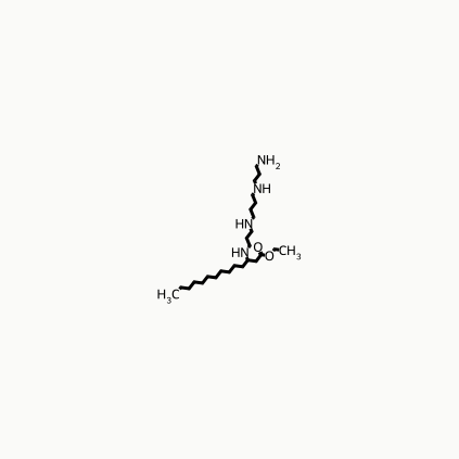 CCCCCCCCCCCC(CC(=O)OCC)NCCCNCCCCNCCCN